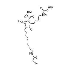 CC(C)(C)OC(=O)NCCCCCCCCN(CC(=O)O)C(=O)[C@H](CCCCNC(=O)OC(C)(C)C)NC(=O)OC(C)(C)C